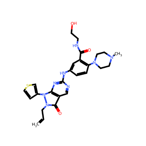 C=CCn1c(=O)c2cnc(Nc3ccc(N4CCN(C)CC4)c(C(=O)NCCO)c3)nc2n1-c1ccsc1